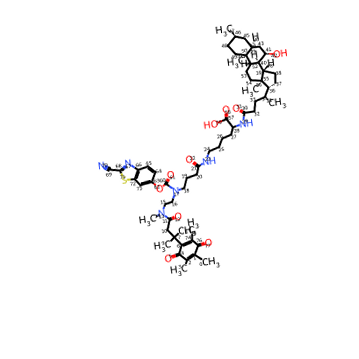 CC1=C(C)C(=O)C(C(C)(C)CC(=O)N(C)CCN(CCCC(=O)NCCCCC(NC(=O)CC[C@@H](C)[C@H]2CC[C@H]3[C@@H]4[C@H](O)C[C@@H]5C[C@H](C)CC[C@]5(C)[C@H]4CC[C@]23C)C(=O)O)C(=O)Oc2ccc3nc(C#N)sc3c2)=C(C)C1=O